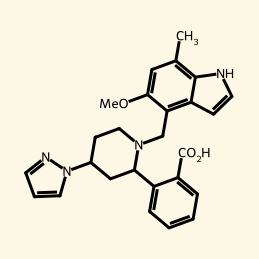 COc1cc(C)c2[nH]ccc2c1CN1CCC(n2cccn2)CC1c1ccccc1C(=O)O